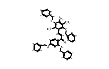 Cc1c(C)c(OCc2ccccc2)c(C=CC(=O)c2ccc(OCc3ccccc3)cc2OCc2ccccc2)c(C)c1OCc1ccccc1